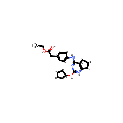 CCOC(=O)Cc1ccc(Nc2nc(OC3CCCC3)nc3c2CCC3)cc1